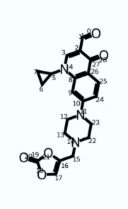 O=[C]c1cn(C2CC2)c2cc(N3CCN(Cc4coc(=O)o4)CC3)ccc2c1=O